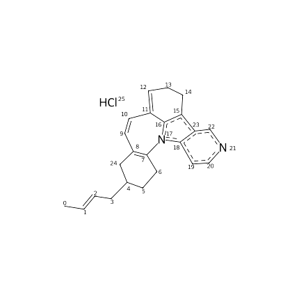 CC=CCC1CCC2=C(C=CC3=CCCc4c3n2c2ccncc42)C1.Cl